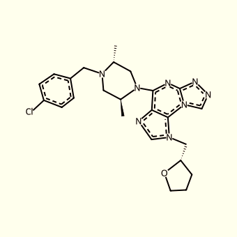 C[C@@H]1CN(c2nc3nncn3c3c2ncn3C[C@@H]2CCCO2)[C@@H](C)CN1Cc1ccc(Cl)cc1